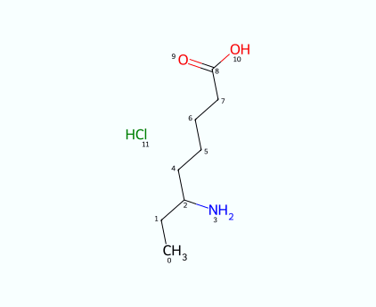 CCC(N)CCCCC(=O)O.Cl